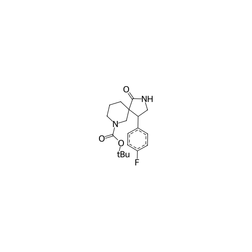 CC(C)(C)OC(=O)N1CCCC2(C1)C(=O)NCC2c1ccc(F)cc1